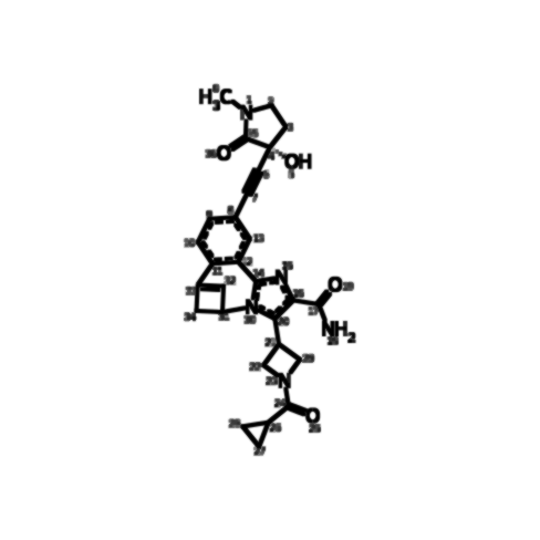 CN1CC[C@@](O)(C#Cc2ccc3c(c2)-c2nc(C(N)=O)c(C4CN(C(=O)C5CC5)C4)n2C2C=C3C2)C1=O